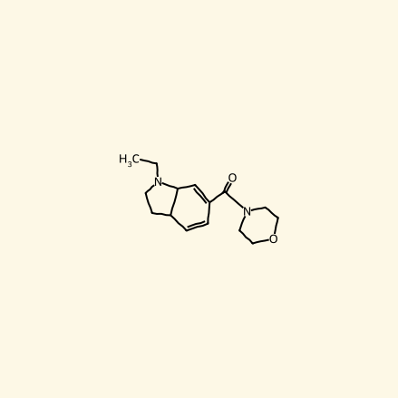 CCN1CCC2C=CC(C(=O)N3CCOCC3)=CC21